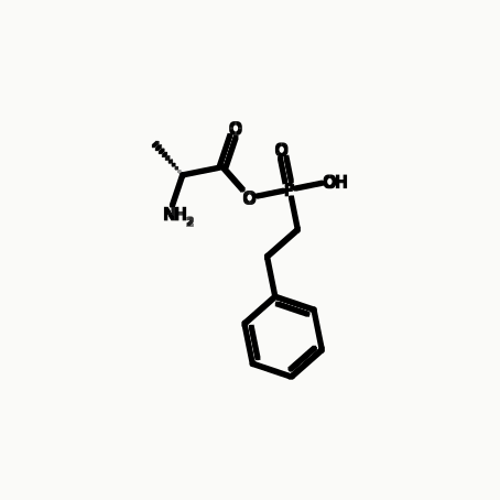 C[C@@H](N)C(=O)OP(=O)(O)CCc1ccccc1